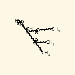 CCCCCCCCCCCOC(=O)CCCCCN(CCCCCCCC(=O)OC(CCCCCCCC)CCCCCCCC)CC(O)CCCCNC(=O)c1ccncc1